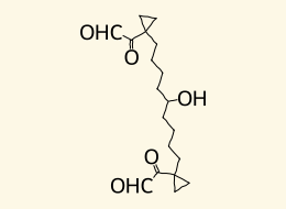 O=CC(=O)C1(CCCCC(O)CCCCC2(C(=O)C=O)CC2)CC1